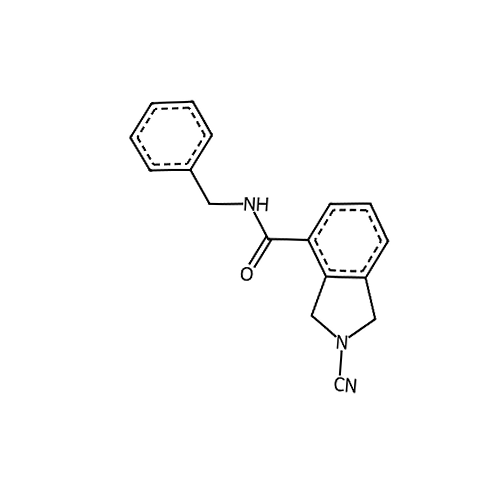 N#CN1Cc2cccc(C(=O)NCc3ccccc3)c2C1